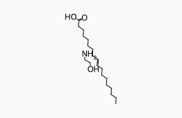 CCCCCCCC/C=C/CCCCCCCC(=O)O.NCCO